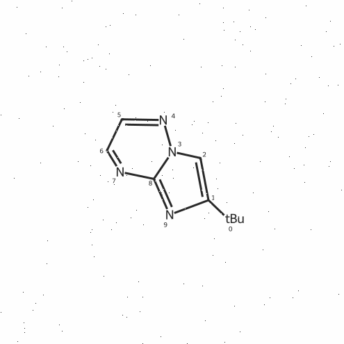 CC(C)(C)c1cn2nccnc2n1